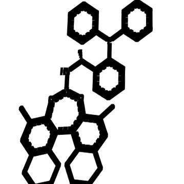 Cc1cc2c(c3c1op(N[C@H](C)c1ccccc1P(c1ccccc1)c1ccccc1)oc1c(C)cc4c(c13)CCCC4)CCCC2